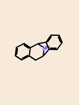 c1ccc2c(c1)CC1NC2c2ccccc21